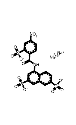 O=C(Nc1cc(S(=O)(=O)[O-])cc2cc(S(=O)(=O)[O-])ccc12)c1ccc([N+](=O)[O-])cc1S(=O)(=O)[O-].[Na+].[Na+].[Na+]